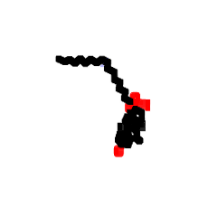 C=C1C[C@@H]2[C@@H](CC[C@@]3(C)[C@H]2CCC3(O)OC(=O)CCCCCCC/C=C\CCCCCCCC)[C@@]2(C)C=CC(=O)C=C12